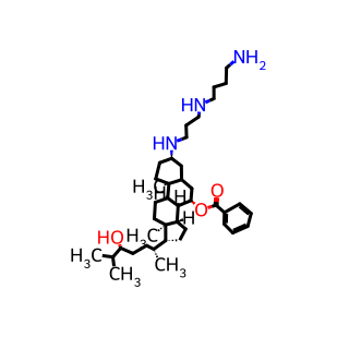 CC(C)C(O)CC[C@@H](C)[C@H]1CC[C@H]2[C@@H]3[C@H](OC(=O)c4ccccc4)CC4C[C@H](NCCCNCCCCN)CC[C@]4(C)[C@H]3CC[C@]12C